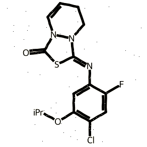 CC(C)Oc1cc(N=c2sc(=O)n3n2CCC=C3)c(F)cc1Cl